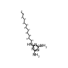 CCCCCCCCCCCCNc1nc(N)nc(N)n1